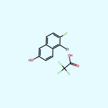 CCc1c(F)ccc2cc(O)ccc12.O=C(O)C(F)(F)F